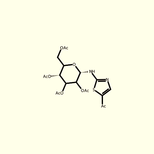 CC(=O)OCC1O[C@H](Nc2ncc(C(C)=O)s2)C(OC(C)=O)C(OC(C)=O)[C@@H]1OC(C)=O